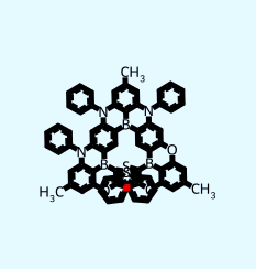 Cc1cc2c3c(c1)Oc1c(sc4ccccc14)B3c1cc3c(cc1O2)N(c1ccccc1)c1cc(C)cc2c1B3c1cc3c(cc1N2c1ccccc1)N(c1ccccc1)c1cc(C)cc2c1B3c1sc3ccccc3c1O2